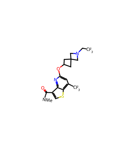 CNC(=O)c1csc2c(C(F)(F)F)cc(OC3CC4(C3)CN(CC(F)(F)F)C4)nc12